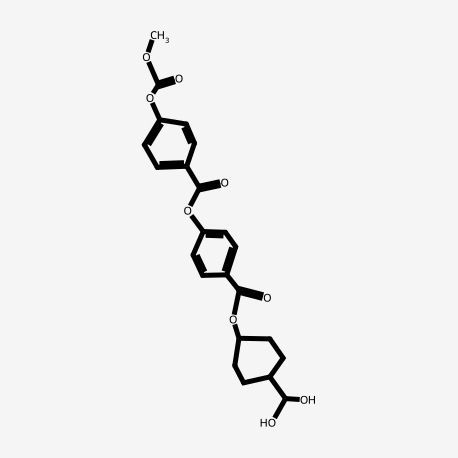 COC(=O)Oc1ccc(C(=O)Oc2ccc(C(=O)OC3CCC(C(O)O)CC3)cc2)cc1